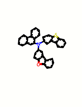 c1ccc2c(c1)cc(N(c1ccc3oc4ccccc4c3c1)c1ccc3sc4ccccc4c3c1)c1ccccc12